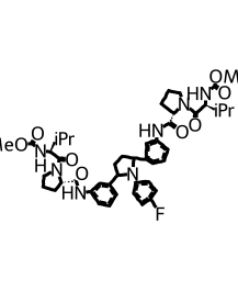 COC(=O)N[C@H](C(=O)N1CCC[C@H]1C(=O)Nc1cccc(C2CCC(c3cccc(NC(=O)[C@@H]4CCCN4C(=O)[C@@H](NC(=O)OC)C(C)C)c3)N2c2ccc(F)cc2)c1)C(C)C